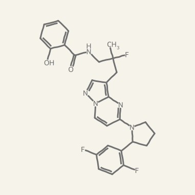 CC(F)(CNC(=O)c1ccccc1O)Cc1cnn2ccc(N3CCCC3c3cc(F)ccc3F)nc12